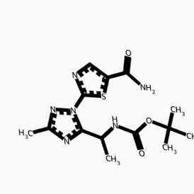 Cc1nc(C(C)NC(=O)OC(C)(C)C)n(-c2ncc(C(N)=O)s2)n1